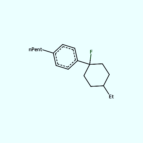 CCCCCc1ccc(C2(F)CCC(CC)CC2)cc1